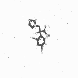 C[C@@H](O)C(O)(Cn1ccnc1)c1ccc(F)cc1F